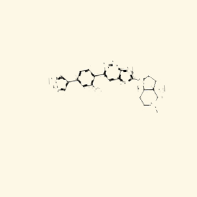 CN1CC[C@@H]2[C@@H](CCN2c2nc3nnc(-c4ccc(-c5cn[nH]c5)cc4O)cc3s2)C1